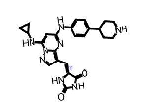 O=C1NC(=O)/C(=C/c2cnn3c(NC4CC4)cc(Nc4ccc(C5CCNCC5)cc4)nc23)N1